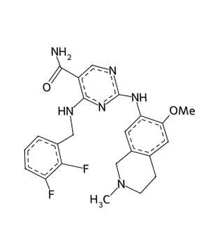 COc1cc2c(cc1Nc1ncc(C(N)=O)c(NCc3cccc(F)c3F)n1)CN(C)CC2